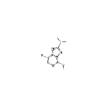 COc1ncc(F)c2nc(C(C)C)nn12